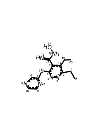 CCc1nnc(Sc2cnccn2)c(C(=N)NO)c1CC